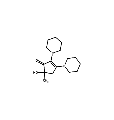 CC1(O)CC(N2CCCCC2)=C(N2CCCCC2)C1=O